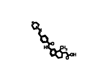 CC1c2cc(NC(=O)c3ccc(C=NN4CCSCC4)cc3)ccc2CCC1CC(=O)O